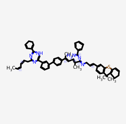 C/C=C\C=C/CC1=NC(c2cccc(-c3ccc(/C(C)=C/C=C(C)/C(=N/C/C=C/c4ccc5c(c4)SC4=C(CCC=C4)C5(C)C)/N=C(\N)c4ccccc4)cc3)c2)=CNC(C2=CCCC=C2)=N1